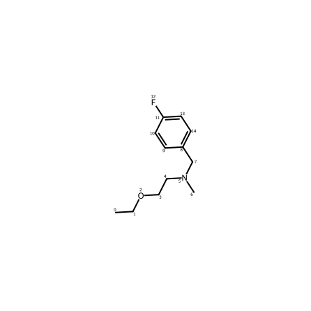 CCOCCN(C)Cc1ccc(F)cc1